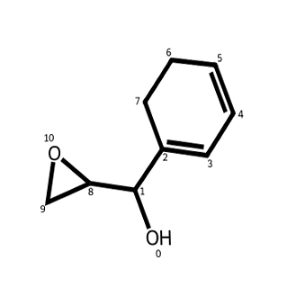 OC(C1=CC=CCC1)C1CO1